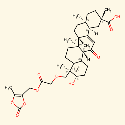 Cc1oc(=O)oc1COC(=O)COC[C@@]1(C)C2CC[C@]3(C)[C@H](C(=O)C=C4[C@@H]5C[C@@](C)(C(=O)O)CC[C@]5(C)CC[C@]43C)[C@@]2(C)CC[C@@H]1O